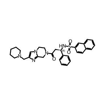 O=C(C[C@@H](NS(=O)(=O)c1ccc2ccccc2c1)c1ccccc1)N1CCn2cc(CN3CCCCC3)nc2C1